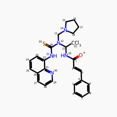 O=C(/C=C/c1ccccc1)NC(N(CN1CCCC1)C(=S)Nc1cccc2cccnc12)C(Cl)(Cl)Cl